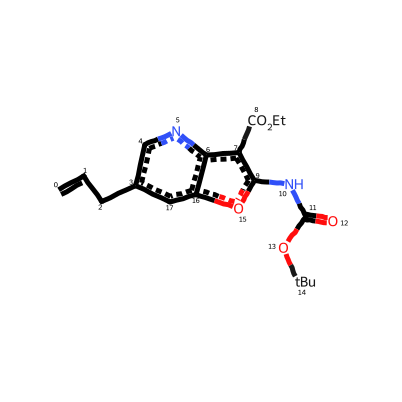 C=CCc1cnc2c(C(=O)OCC)c(NC(=O)OC(C)(C)C)oc2c1